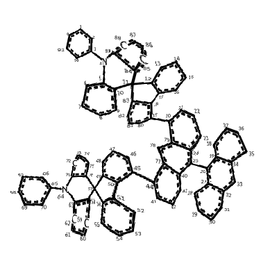 c1ccc(N2c3ccccc3C3(c4ccccc4-c4c(-c5cccc6c(-c7c8ccccc8cc8ccccc78)c7cccc(-c8cccc9c8-c8ccccc8C98c9ccccc9N(c9ccccc9)c9ccccc98)c7cc56)cccc43)c3ccccc32)cc1